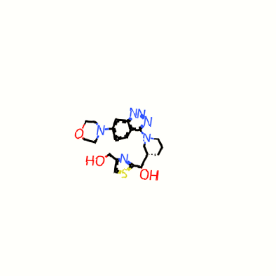 OCc1csc([C@@H](O)[C@H]2CCCN(c3nnnc4cc(N5CCOCC5)ccc34)C2)n1